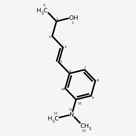 CC(O)CC=Cc1cccc(N(C)C)c1